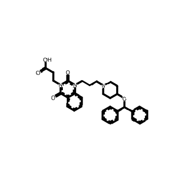 O=C(O)CCn1c(=O)c2ccccc2n(CCCN2CCC(OC(c3ccccc3)c3ccccc3)CC2)c1=O